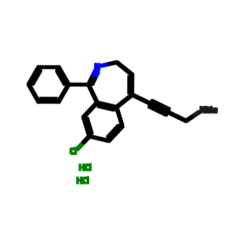 CNCC#CC1=CCN=C(c2ccccc2)c2cc(Cl)ccc21.Cl.Cl